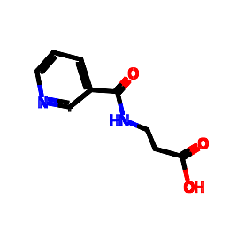 O=C(O)CCNC(=O)c1[c]nccc1